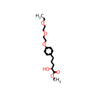 CCOCCOCCOc1ccc(CCC[C@H](O)C(=O)OC)cc1